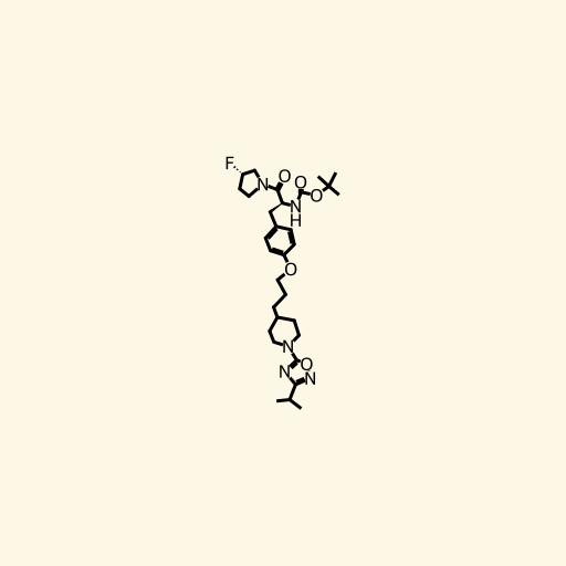 CC(C)c1noc(N2CCC(CCCOc3ccc(C[C@H](NC(=O)OC(C)(C)C)C(=O)N4CC[C@H](F)C4)cc3)CC2)n1